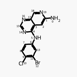 Nc1cc2c(Nc3ccc(Cl)c(Br)c3)ncnc2cn1